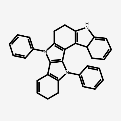 C1=CCC2C(=C1)NC1=C2c2c(n(-c3ccccc3)c3c4c(n(-c5ccccc5)c23)CCC=C4)CC1